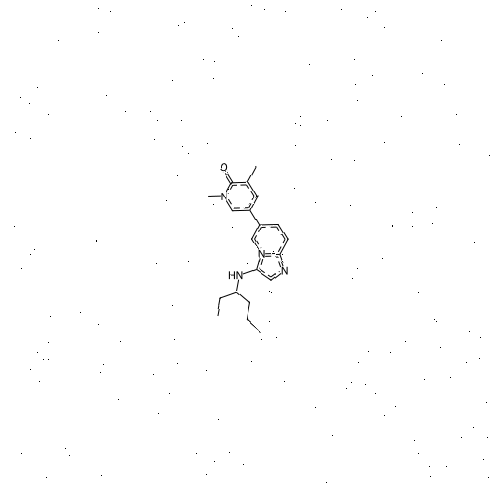 CCCC(CC)Nc1cnc2ccc(-c3cc(C)c(=O)n(C)c3)cn12